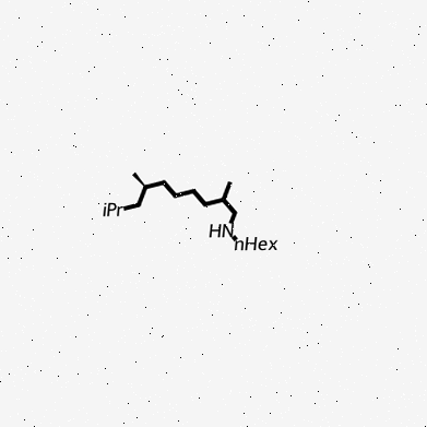 CCCCCCNCC(C)CCCC[C@H](C)CC(C)C